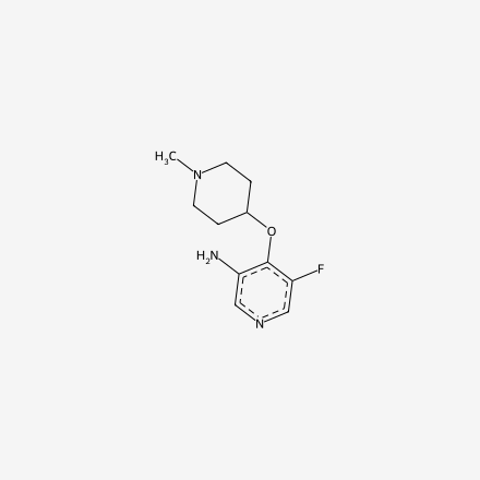 CN1CCC(Oc2c(N)cncc2F)CC1